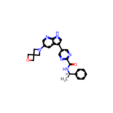 C[C@@H](NC(=O)c1ncc(-c2c[nH]c3ncc(N4CC5(COC5)C4)cc23)cn1)c1ccccc1